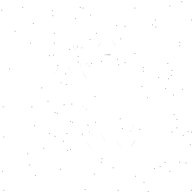 COc1ccccc1C(C)NC(=O)c1ccccc1C1CCN(CCN2C=COC(C3=CC=CC(=O)C3)=C2)CC1